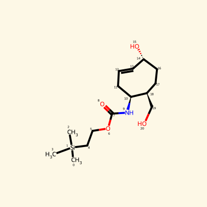 C[Si](C)(C)CCOC(=O)N[C@H]1C/C=C/[C@H](O)CC[C@H]1CO